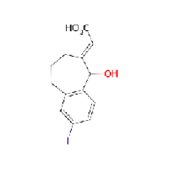 O=C(O)/C=C1\CCCc2cc(I)ccc2C1O